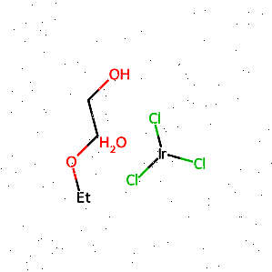 CCOCCO.O.[Cl][Ir]([Cl])[Cl]